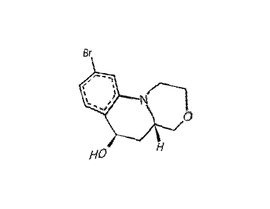 O[C@@H]1C[C@H]2COCCN2c2cc(Br)ccc21